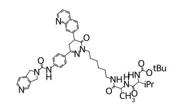 CC(NC(=O)C(NC(=O)OC(C)(C)C)C(C)C)C(=O)NCCCCCCN1N=C(c2ccc(NC(=O)N3Cc4ccncc4C3)cc2)CC(c2ccc3cccnc3c2)C1=O